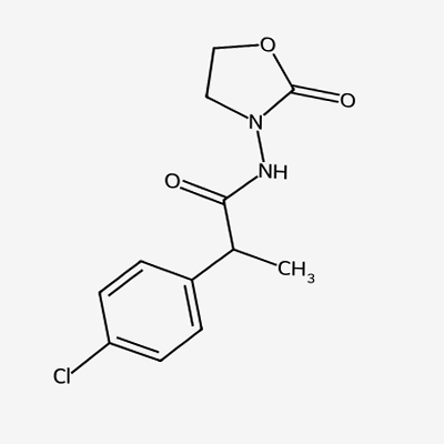 CC(C(=O)NN1CCOC1=O)c1ccc(Cl)cc1